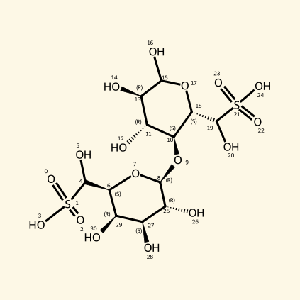 O=S(=O)(O)C(O)[C@H]1O[C@@H](O[C@H]2[C@H](O)[C@@H](O)C(O)O[C@@H]2C(O)S(=O)(=O)O)[C@H](O)[C@@H](O)[C@H]1O